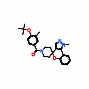 Cc1cc(C(=O)N2CCC3(CC2)Oc2ccccc2-c2c3cnn2C)ccc1OC(C)(C)C